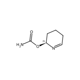 NC(=O)O[C@H]1CCCC=N1